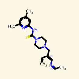 C=C/C(=C\N=C/C)CN1CCN(C(=S)Nc2cc(C)cc(C)n2)CC1